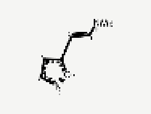 CNC=Cc1ccno1